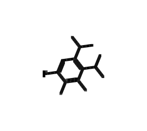 Cc1c(F)cc(C(C)C)c(C(C)C)c1C